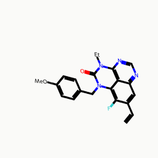 C=Cc1cc2ncnc3c2c(c1F)N(Cc1ccc(OC)cc1)C(=O)N3CC